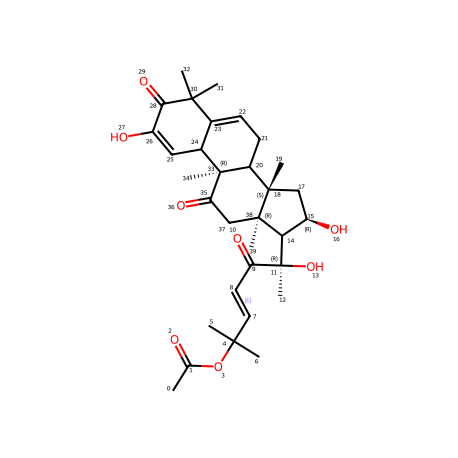 CC(=O)OC(C)(C)/C=C/C(=O)[C@](C)(O)C1[C@H](O)C[C@@]2(C)C3CC=C4C(C=C(O)C(=O)C4(C)C)[C@]3(C)C(=O)C[C@]12C